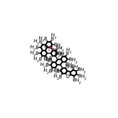 Bc1c(B)c(-c2c3c(B)c(B)c(B)c(B)c3c(-c3c(B)c(B)c4oc5c(B)c(B)c(B)c(B)c5c4c3B)c3c(B)c(B)c(B)c(B)c23)c(B)c(-c2c(B)c(B)c(B)c3c(B)c(B)c4c(B)c(B)c(B)c(B)c4c23)c1B